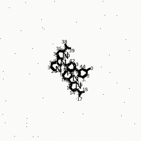 Cc1ccc(-n2c3ncccc3c3ccc(C(C)C)nc32)c(-c2ccc(-n3c4ncccc4c4ccc(C(C)C)nc43)cc2)c1